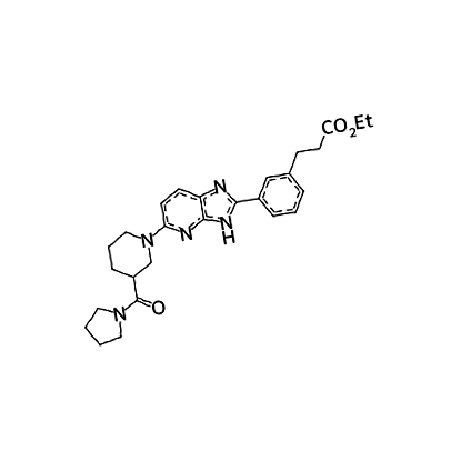 CCOC(=O)CCc1cccc(-c2nc3ccc(N4CCCC(C(=O)N5CCCC5)C4)nc3[nH]2)c1